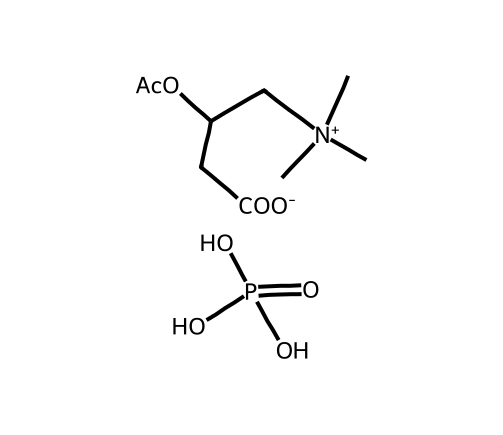 CC(=O)OC(CC(=O)[O-])C[N+](C)(C)C.O=P(O)(O)O